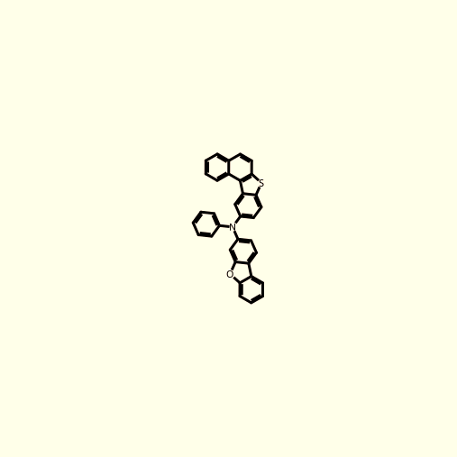 c1ccc(N(c2ccc3c(c2)oc2ccccc23)c2ccc3sc4ccc5ccccc5c4c3c2)cc1